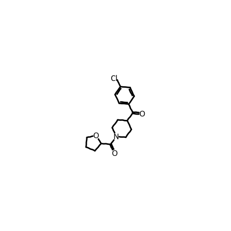 O=C(c1ccc(Cl)cc1)C1CCN(C(=O)C2CCCO2)CC1